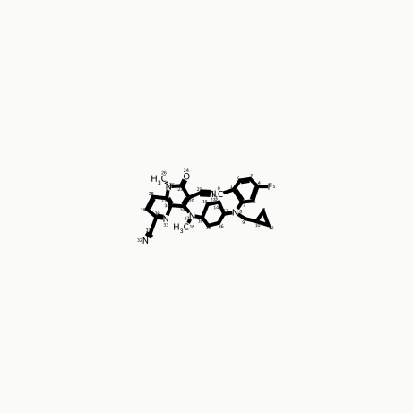 Cc1ccc(F)cc1N(CC1CC1)C1CCC(N(C)c2c(C#N)c(=O)n(C)c3ccc(C#N)nc23)CC1